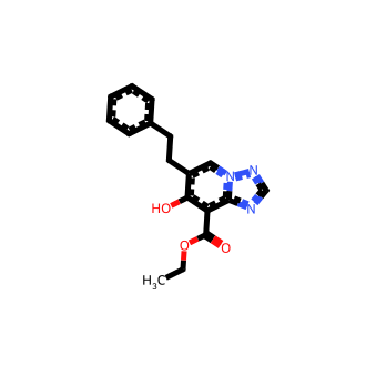 CCOC(=O)c1c(O)c(CCc2ccccc2)cn2ncnc12